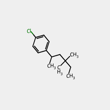 CCC(C)(C)CC(C)c1ccc(Cl)cc1